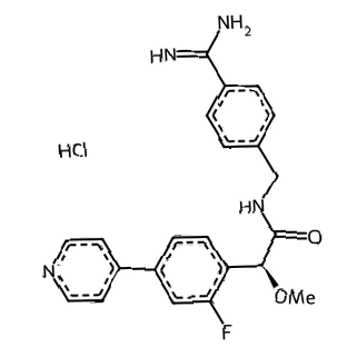 CO[C@H](C(=O)NCc1ccc(C(=N)N)cc1)c1ccc(-c2ccncc2)cc1F.Cl